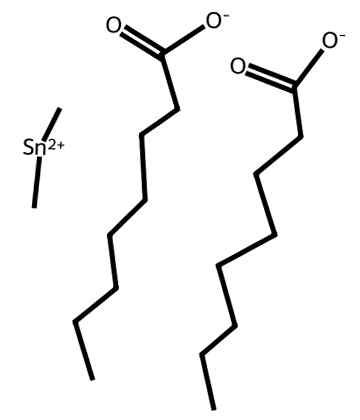 CCCCCCCC(=O)[O-].CCCCCCCC(=O)[O-].[CH3][Sn+2][CH3]